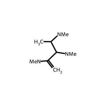 C=C(NC)C(NC)C(C)NC